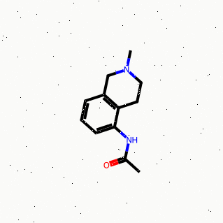 CC(=O)Nc1cccc2c1CCN(C)C2